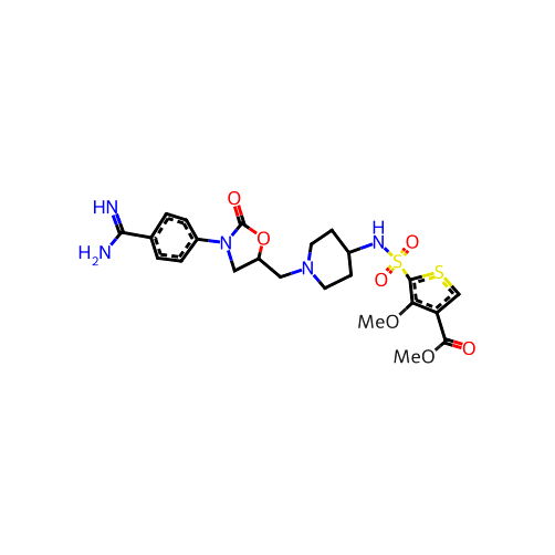 COC(=O)c1csc(S(=O)(=O)NC2CCN(CC3CN(c4ccc(C(=N)N)cc4)C(=O)O3)CC2)c1OC